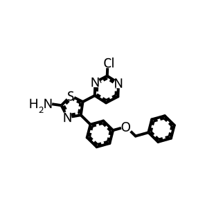 Nc1nc(-c2cccc(OCc3ccccc3)c2)c(-c2ccnc(Cl)n2)s1